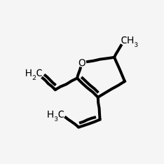 C=CC1=C(/C=C\C)CC(C)O1